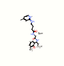 Cc1ccnc(NCCCC(=O)NCC(=O)NC(CC(=O)O)c2cccc([N+](=O)[O-])c2O)c1.[NaH]